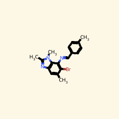 Cc1ccc(C=Nc2c(Br)c(C)cc3nc(C)n(C)c23)cc1